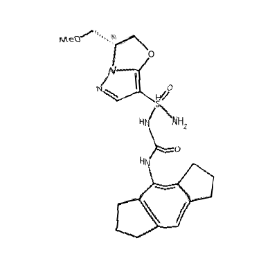 COC[C@@H]1COc2c([SH](N)(=O)NC(=O)Nc3c4c(cc5c3CCC5)CCC4)cnn21